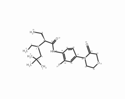 CCN(CC(C)(C)C)[C@@H](CN)C(=O)Nc1ccc(N2CCOCC2=O)cc1F